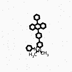 CC1N(C)c2ccc(-c3ccc(-c4c5ccccc5c(-c5ccccc5)c5ccccc45)cc3)cc2N1c1ccccc1